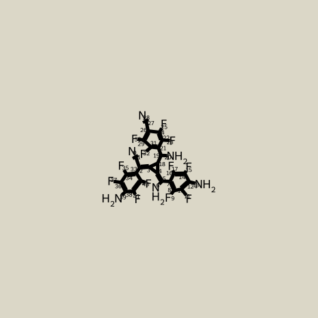 N#C/C(=C1/C(=C(\N)c2c(F)c(F)c(N)c(F)c2F)C1C(N)c1c(F)c(F)c(C#N)c(F)c1F)c1c(F)c(F)c(N)c(F)c1F